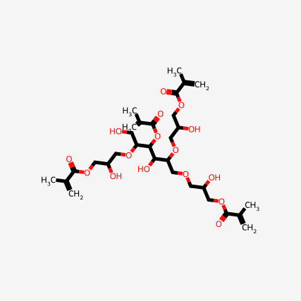 C=C(C)C(=O)OCC(O)COCC(OCC(O)COC(=O)C(=C)C)C(O)C(OC(=O)C(=C)C)C(CO)OCC(O)COC(=O)C(=C)C